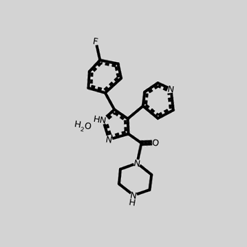 O.O=C(c1n[nH]c(-c2ccc(F)cc2)c1-c1ccncc1)N1CCNCC1